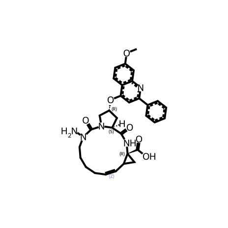 COc1ccc2c(O[C@@H]3C[C@H]4C(=O)N[C@]5(C(=O)O)CC5/C=C\CCCCN(N)C(=O)N4C3)cc(-c3ccccc3)nc2c1